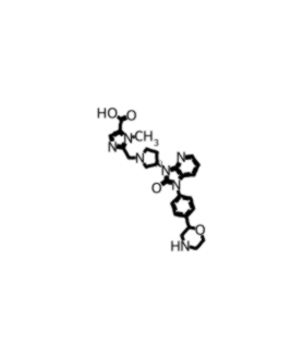 Cn1c(C(=O)O)cnc1CN1CC[C@H](n2c(=O)n(-c3ccc(C4CNCCO4)cc3)c3cccnc32)C1